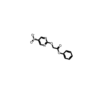 O=C(COc1ncc([N+](=O)[O-])cn1)Oc1ccccc1